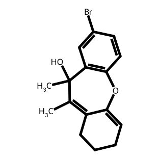 CC1=C2CCCC=C2Oc2ccc(Br)cc2C1(C)O